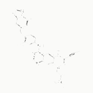 CC#CC(=O)Nc1cc2c(Nc3ccc(Oc4ccn5ncnc5c4)c(Cl)c3)ncnc2cc1OCCN(C)C